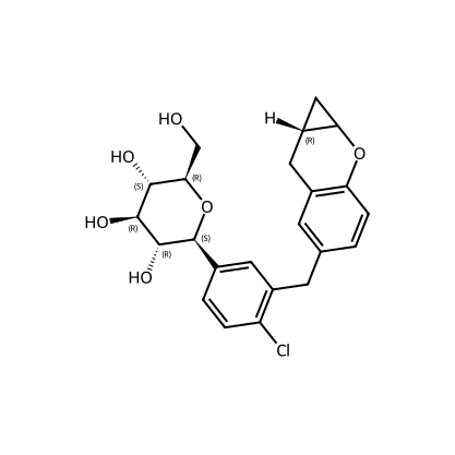 OC[C@H]1O[C@@H](c2ccc(Cl)c(Cc3ccc4c(c3)C[C@@H]3CC3O4)c2)[C@H](O)[C@@H](O)[C@@H]1O